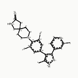 Cc1cc(-c2n[nH]c(C)c2-c2cc(F)c(N3CCC4(CC3)CNC(=O)C4)c(F)c2)ccn1